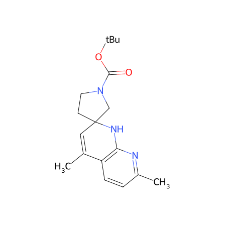 CC1=CC2(CCN(C(=O)OC(C)(C)C)C2)Nc2nc(C)ccc21